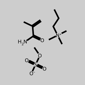 C=C(C)C(N)=O.CCC[N+](C)(C)C.COS(=O)(=O)[O-]